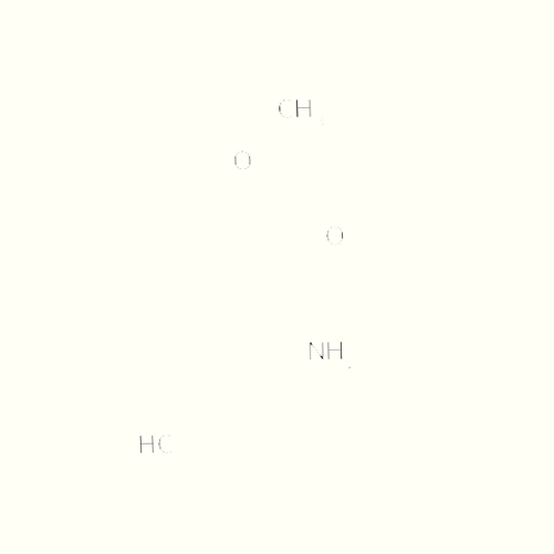 C#C[C@@H](N)CC(=O)OC